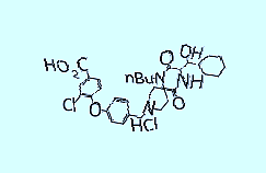 CCCCN1C(=O)[C@@H](C(O)C2CCCCC2)NC(=O)C12CCN(Cc1ccc(Oc3ccc(C(=O)O)cc3Cl)cc1)CC2.Cl